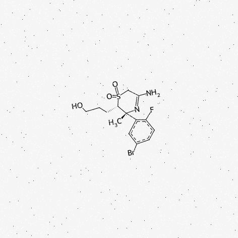 C[C@]1(c2cc(Br)ccc2F)N=C(N)CS(=O)(=O)[C@H]1CCCO